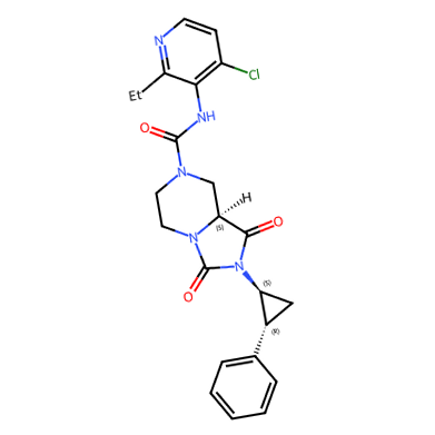 CCc1nccc(Cl)c1NC(=O)N1CCN2C(=O)N([C@H]3C[C@@H]3c3ccccc3)C(=O)[C@@H]2C1